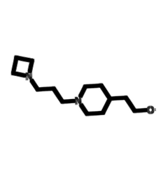 [O]CCC1CCN(CCCN2CCC2)CC1